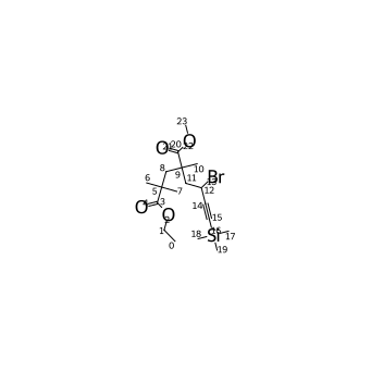 CCOC(=O)C(C)(C)CC(C)(CC(Br)C#C[Si](C)(C)C)C(=O)OC